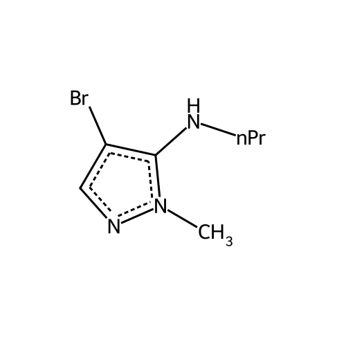 CCCNc1c(Br)cnn1C